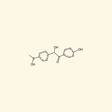 CB(O)c1ccc(C(O)C(=O)c2ccc(O)cc2)cc1